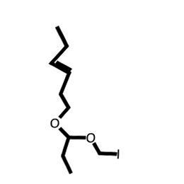 CCC=CCCOC(CC)OCI